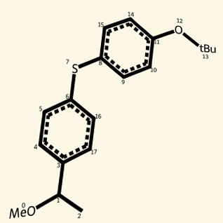 COC(C)c1ccc(Sc2ccc(OC(C)(C)C)cc2)cc1